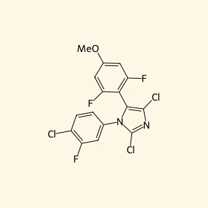 COc1cc(F)c(-c2c(Cl)nc(Cl)n2-c2ccc(Cl)c(F)c2)c(F)c1